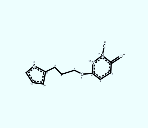 O=c1ccc(OCCCc2cccs2)nn1Cl